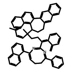 C=C(C)/C=C\C(C)(CCC(C1=N/C(c2cccc3ccccc23)=C\CC/C(c2ccccc2)=N\1)=c1ccccc1=C)C1CCc2cc3ccccc3cc2-c2ccc3ccccc3c21